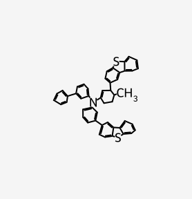 CC1CCC(N(c2cccc(-c3ccccc3)c2)c2cccc(-c3ccc4sc5ccccc5c4c3)c2)=CC1c1ccc2sc3ccccc3c2c1